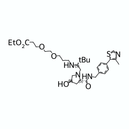 CCOC(=O)CCOCCOCCCN[C@H](CN1C[C@H](O)C[C@H]1C(=O)NCc1ccc(-c2scnc2C)cc1)C(C)(C)C